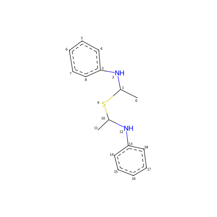 CC(Nc1ccccc1)SC(C)Nc1ccccc1